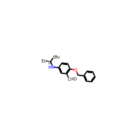 CC[C@H](Nc1ccc(OCc2ccccc2)c(C=O)c1)C(C)(C)C